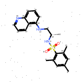 Cc1cc(C)c(S(=O)(=O)N[C@@H](C)CNc2cccc3ncccc23)c(C)c1